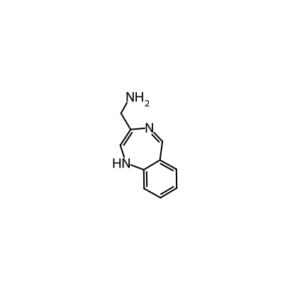 NCC1=CNc2ccccc2C=N1